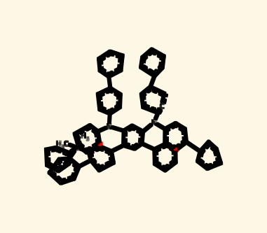 C[Si]1(C)c2ccccc2-c2ccc(-c3cc(-c4ccccc4)c(N(c4ccc(-c5ccccc5)cc4)c4ccc(-c5ccccc5)cc4)cc3N(c3ccc(-c4ccccc4)cc3)c3ccc(-c4ccccc4)cc3)cc21